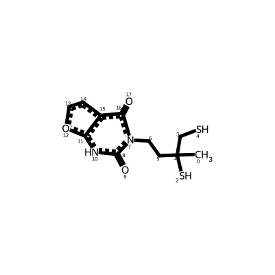 CC(S)(CS)CCn1c(=O)[nH]c2occc2c1=O